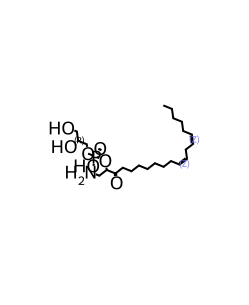 CCCCC/C=C\C/C=C\CCCCCCCC(=O)C(CN)OP(=O)(O)OC[C@H](O)CO